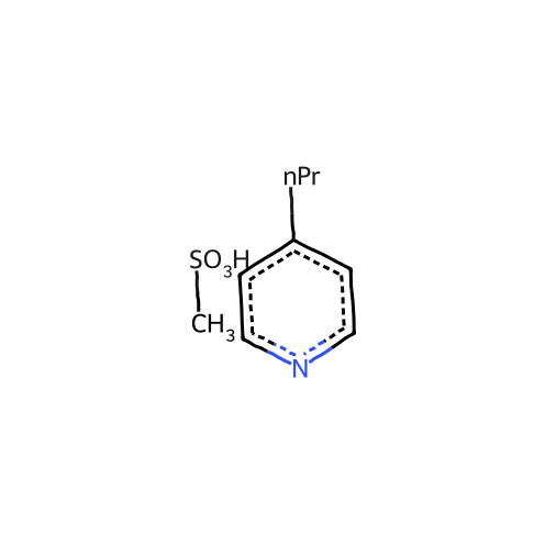 CCCc1ccncc1.CS(=O)(=O)O